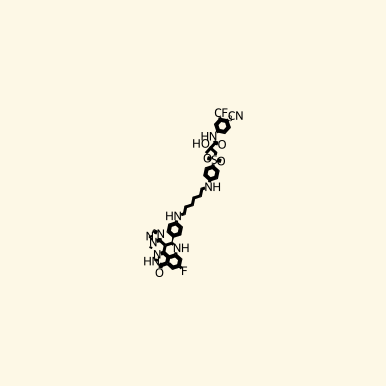 Cn1ncnc1C1c2n[nH]c(=O)c3cc(F)cc(c23)N[C@@H]1c1ccc(NCCCCCCNc2ccc(S(=O)(=O)CC(C)(O)C(=O)Nc3ccc(C#N)c(C(F)(F)F)c3)cc2)cc1